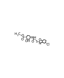 CCOC(=O)c1ccc(NC(=O)CSc2nc3cc(Cl)ccc3o2)cc1O